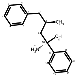 C[C@H](Cc1ccccc1)C[C@@](N)(O)c1ccccc1